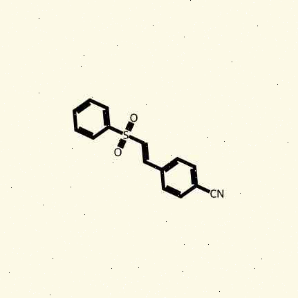 N#Cc1ccc(/C=C/S(=O)(=O)c2ccccc2)cc1